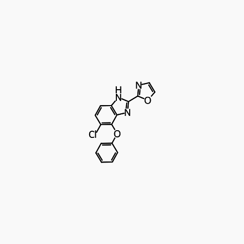 Clc1ccc2[nH]c(-c3ncco3)nc2c1Oc1ccccc1